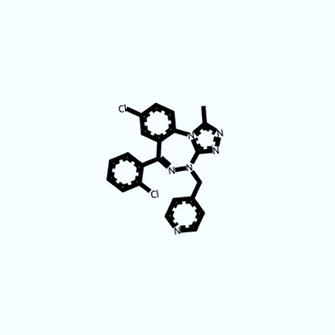 Cc1nnc2n1-c1ccc(Cl)cc1C(c1ccccc1Cl)=NN2Cc1ccncc1